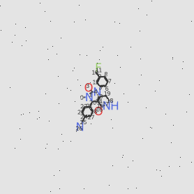 CN1C(=O)N(c2cccc(CF)c2)C2=C(C(=O)NCC2)C1c1ccc(C#N)cc1